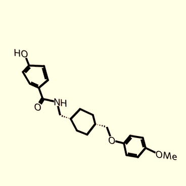 COc1ccc(OC[C@H]2CC[C@@H](CNC(=O)c3ccc(O)cc3)CC2)cc1